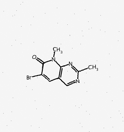 Cc1ncc2cc(Br)c(=O)n(C)c2n1